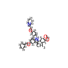 Cc1c(-c2ccc3c(c2)OCO3)n(Cc2ccc(OCCN3CCCCC3)cc2)c2ccc(OCc3ccccc3)cc12